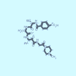 CC(C)[C@H](NC(=O)[C@H](C)NC(=O)[C@@H](NC(=O)c1ccc(C(=O)O)cc1)C(C)(C)C)C(=O)C(=O)NCC(=O)N1CCN(C)CC1